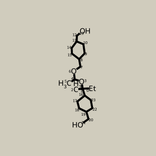 CCC(C)(OC(C)OCC1CCC(CO)CC1)C1CCC(CO)CC1